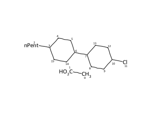 CC(=O)O.CCCCCC1CCC(C2CCC(Cl)CC2)CC1